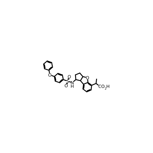 CC(C(=O)O)c1cccc2c1OC1CCC(NS(=O)(=O)c3ccc(Oc4ccccc4)cc3)C21